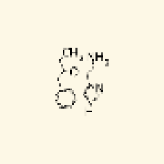 CCC(=O)Cc1ccccc1.NCCc1c[nH]cn1